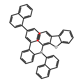 c1cc(-c2ccccc2N(c2cccc3ccccc23)c2cccc3c2oc2ccccc23)cc(-c2cccc3ccccc23)c1